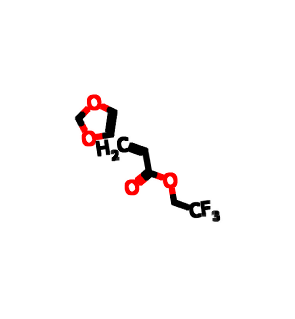 C1=COCO1.C=CC(=O)OCC(F)(F)F